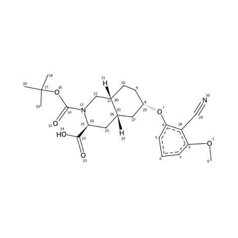 COc1cccc(O[C@H]2CC[C@H]3CN(C(=O)OC(C)(C)C)[C@H](C(=O)O)C[C@H]3C2)c1C#N